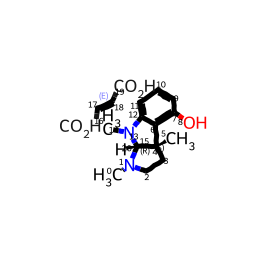 CN1CC[C@@]2(C)c3c(O)cccc3N(C)[C@@H]12.O=C(O)/C=C/C(=O)O